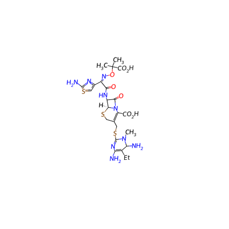 CCC1=C(N)N=C(SCC2=C(C(=O)O)N3C(=O)C(NC(=O)/C(=N\OC(C)(C)C(=O)O)c4csc(N)n4)[C@@H]3SC2)N(C)C1N